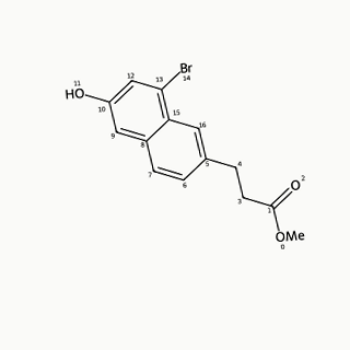 COC(=O)CCc1ccc2cc(O)cc(Br)c2c1